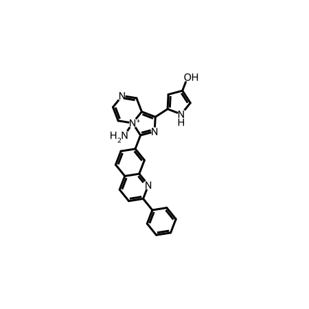 N[N+]12C=CN=CC1=C(c1cc(O)c[nH]1)N=C2c1ccc2ccc(-c3ccccc3)nc2c1